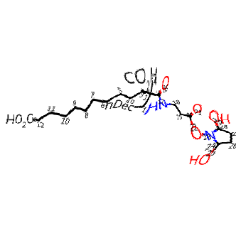 CCCCCCCCCCCC(CCCCCCCCCCC(=O)O)(C(=O)O)C(=O)NCCC(=O)ON1C(O)CCC1O